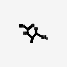 C=C(NC(=O)C(C)(C)C)C(N)=O